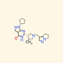 C[C@@H]1CN(Cc2cnn3c2CCC3)C[C@H]1c1nc2c(cnn2C2CCCC2)c(=O)[nH]1